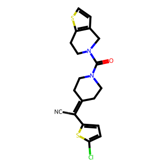 N#CC(=C1CCN(C(=O)N2CCc3sccc3C2)CC1)c1ccc(Cl)s1